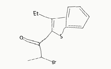 CCc1c(C(=O)C(C)Br)sc2ccccc12